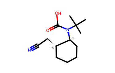 CC(C)(C)N(C(=O)O)[C@H]1CCCC[C@@H]1CC#N